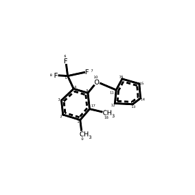 Cc1c[c]c(C(F)(F)F)c(Oc2ccccc2)c1C